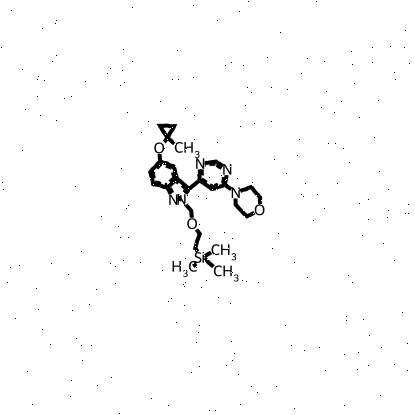 CC1(Oc2ccc3nn(COCC[Si](C)(C)C)c(-c4cc(N5CCOCC5)ncn4)c3c2)CC1